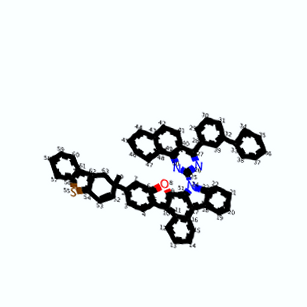 CC1(c2ccc3c(c2)oc2c3c3ccccc3c3c4ccccc4n(-c4nc(-c5cccc(-c6ccccc6)c5)c5ccc6ccccc6c5n4)c23)C=Cc2sc3ccccc3c2C1